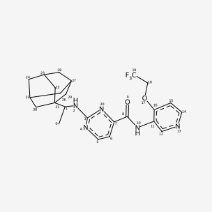 CC(Nc1nccc(C(=O)Nc2cnccc2OCC(F)(F)F)n1)C12CC3CC(CC(C3)C1)C2